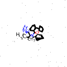 CC(C)C(CN)N(Cc1ccccc1)C(=O)c1ccccc1-c1ccccc1